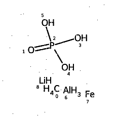 C.O=P(O)(O)O.[AlH3].[Fe].[LiH]